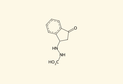 O=C(O)NNC1CC(=O)c2ccccc21